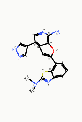 CN(C)c1nc2cccc(-c3cc4c(-c5cn[nH]c5)cnc(N)c4o3)c2s1